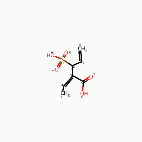 C=CC(C(=CC)C(=O)O)S(=O)(=O)O